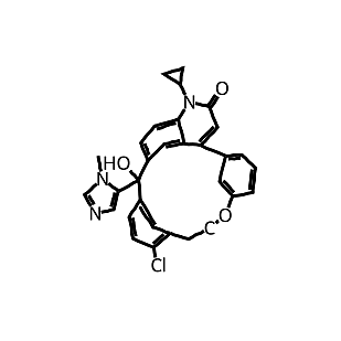 Cn1cncc1C1(O)c2ccc(Cl)c(c2)CCOc2cccc(c2)-c2cc(=O)n(C3CC3)c3ccc1cc23